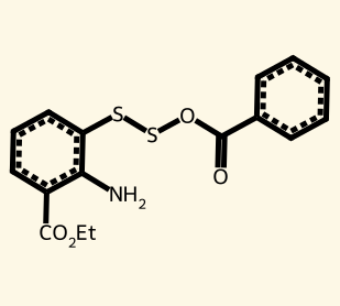 CCOC(=O)c1cccc(SSOC(=O)c2ccccc2)c1N